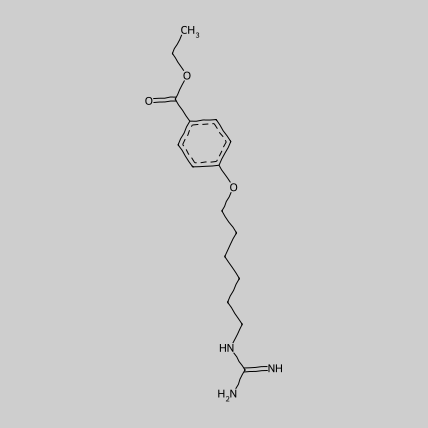 CCOC(=O)c1ccc(OCCCCCCNC(=N)N)cc1